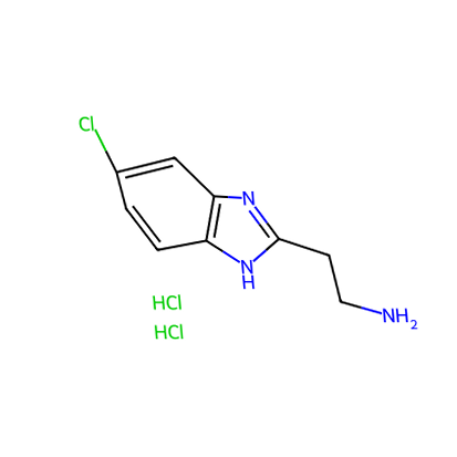 Cl.Cl.NCCc1nc2cc(Cl)ccc2[nH]1